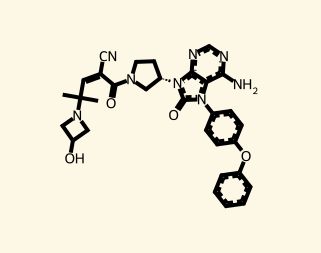 CC(C)(/C=C(/C#N)C(=O)N1CC[C@H](n2c(=O)n(-c3ccc(Oc4ccccc4)cc3)c3c(N)ncnc32)C1)N1CC(O)C1